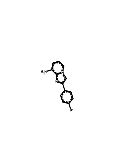 Nc1cccn2cc(-c3ccc(Br)cc3)nc12